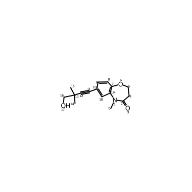 CN1C(=O)CCOc2ccc(C#CC(C)(C)CO)cc21